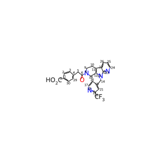 O=C(O)c1ccc(CC(=O)N2CCc3c(n(Cc4ccnc(C(F)(F)F)c4)c4ncccc34)C2)cc1